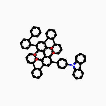 c1ccc(-c2ccccc2-c2cc(-c3ccc(-n4c5ccccc5c5ccccc54)cc3)c3ccc4c(-c5ccccc5-c5ccccc5)cc(-c5ccccc5-c5ccccc5)c5ccc2c3c45)cc1